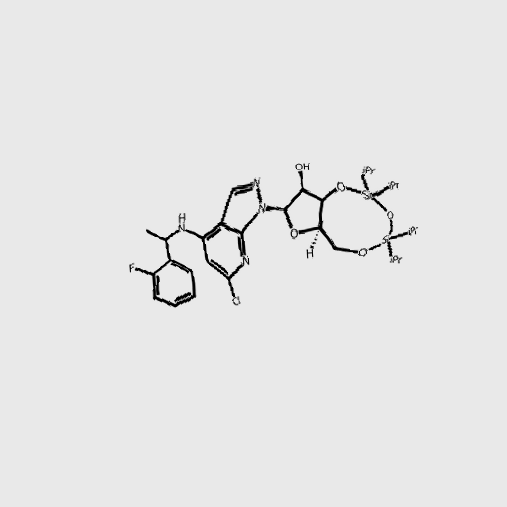 CC(Nc1cc(Cl)nc2c1cnn2[C@@H]1O[C@@H]2CO[Si](C(C)C)(C(C)C)O[Si](C(C)C)(C(C)C)OC2[C@@H]1O)c1ccccc1F